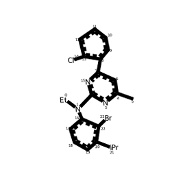 CCN(c1nc(C)cc(-c2ccccc2Cl)n1)c1cccc(C(C)C)c1Br